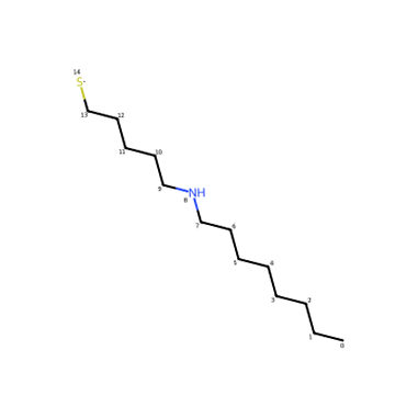 CCCCCCCCNCCCCC[S]